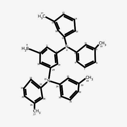 Bc1cc(N(c2cccc(C)c2)c2cccc(C)c2)cc(N(c2cccc(C)c2)c2cccc(C)c2)c1